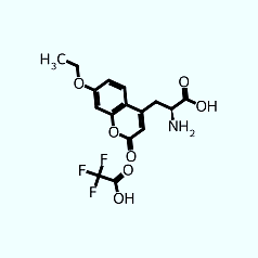 CCOc1ccc2c(C[C@H](N)C(=O)O)cc(=O)oc2c1.O=C(O)C(F)(F)F